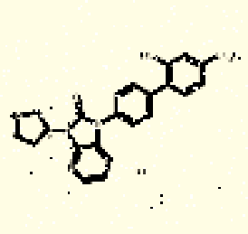 Cl.O=C(O)c1ccc(-c2ccc(-n3c(=O)n([C@H]4CCNC4)c4ncccc43)cc2)c(O)c1